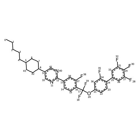 CCCCCC1CCC(c2cnc(-c3ccc(C(F)(F)Oc4ccc(-c5cc(F)c(F)c(F)c5)c(F)c4)c(F)c3)nc2)CC1